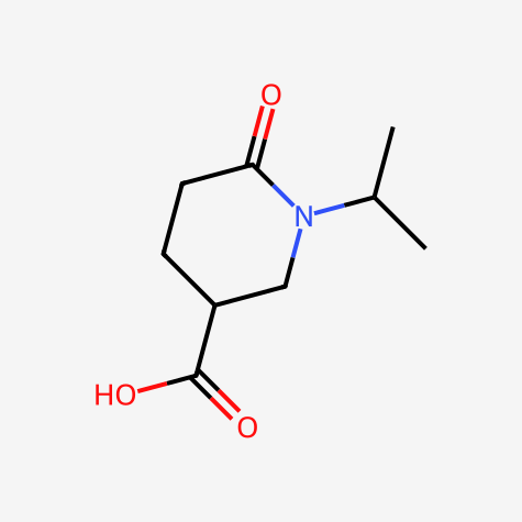 CC(C)N1CC(C(=O)O)CCC1=O